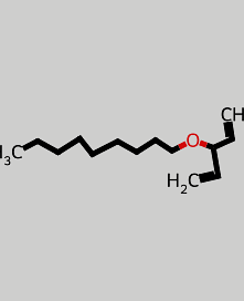 C=CC(C=C)OCCCCCCCCC